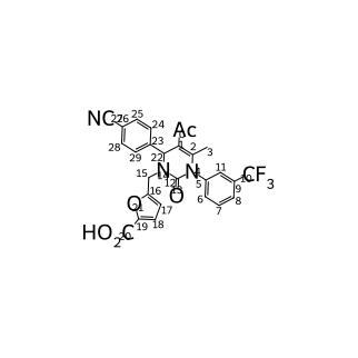 CC(=O)C1=C(C)N(c2cccc(C(F)(F)F)c2)C(=O)N(Cc2ccc(C(=O)O)o2)C1c1ccc(C#N)cc1